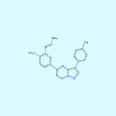 COC=Nc1cc(-c2ccn3ncc(-c4ccc(C#N)cc4)c3n2)ccc1C(=O)O